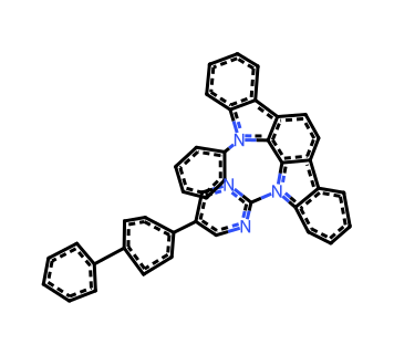 c1ccc(-c2ccc(-c3cnc(-n4c5ccccc5c5ccc6c7ccccc7n(-c7ccccc7)c6c54)nc3)cc2)cc1